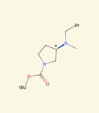 CC(C)CN(C)[C@@H]1CCN(C(=O)OC(C)(C)C)C1